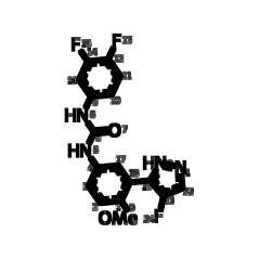 COc1ccc(NC(=O)Nc2ccc(F)c(F)c2)cc1-c1[nH]ncc1F